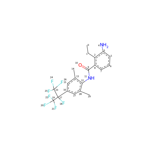 CCc1c(N)cccc1C(=O)Nc1c(C)cc(C(F)(C(F)(F)F)C(F)(F)F)cc1C